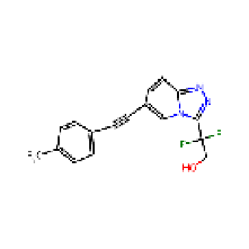 OCC(F)(F)c1nnc2ccc(C#Cc3ccc(C(F)(F)F)cc3)cn12